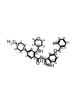 CN1CCN(c2ccc(C(=O)Nc3n[nH]c4ccc(OCc5ccccc5F)cc34)c(NC3CCOCC3)c2)CC1